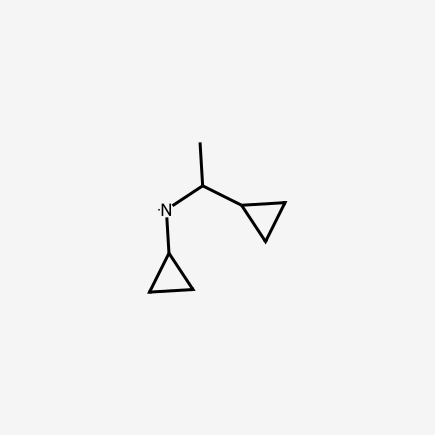 CC([N]C1CC1)C1CC1